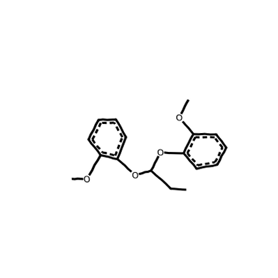 CCC(Oc1ccccc1OC)Oc1ccccc1OC